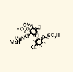 CNC.CNC.COc1c(Cl)ccc(Cl)c1C(=O)O.O=C(O)COc1ccc(Cl)cc1Cl